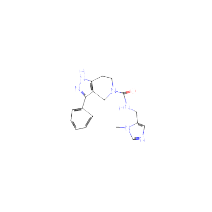 Cn1cncc1CNC(=O)N1CCc2[nH]nc(-c3ccccc3)c2C1